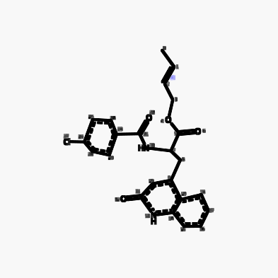 C/C=C/COC(=O)C(Cc1cc(=O)[nH]c2ccccc12)NC(=O)c1ccc(Cl)cc1